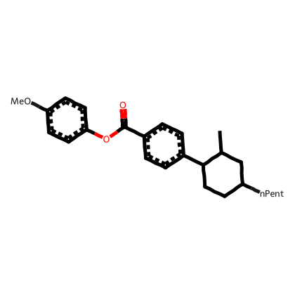 CCCCCC1CCC(c2ccc(C(=O)Oc3ccc(OC)cc3)cc2)C(C)C1